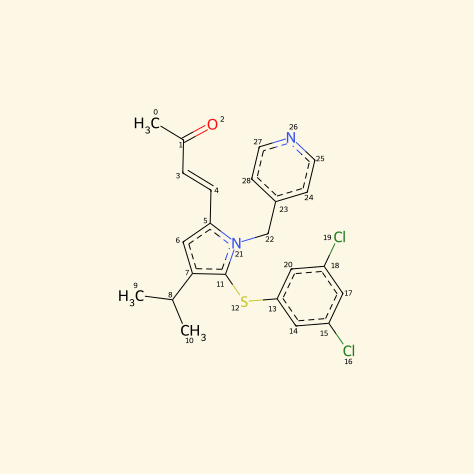 CC(=O)C=Cc1cc(C(C)C)c(Sc2cc(Cl)cc(Cl)c2)n1Cc1ccncc1